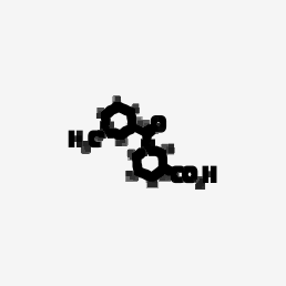 CN1CCC[C@@H](C(=O)N2CCCC(C(=O)O)C2)C1